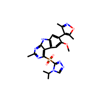 COc1cc2c(cc1-c1c(C)noc1C)[nH]c1nc(C)nc(S(=O)(=O)c3nncn3C(C)C)c12